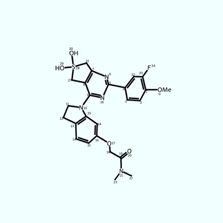 COc1ccc(-c2nc3c(c(N4CCc5ccc(OCC(=O)N(C)C)cc54)n2)CS(O)(O)C3)cc1F